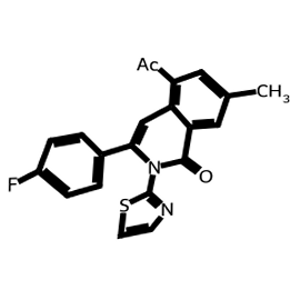 CC(=O)c1cc(C)cc2c(=O)n(-c3nccs3)c(-c3ccc(F)cc3)cc12